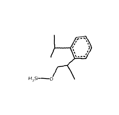 CC(C)c1ccccc1C(C)CO[SiH3]